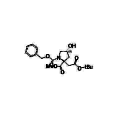 COC(=O)C1(CC(=O)OC(C)(C)C)C[C@@H](O)CN1C(=O)OCc1ccccc1